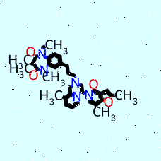 CCN1C(=O)C(C)(C)C(=O)N(C)c2cc(CCCN(CCn3cc(C)c4oc(C)cc4c3=O)Cc3ncccc3C)ccc21